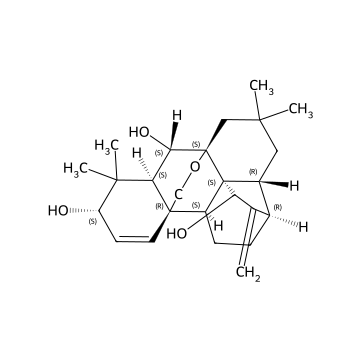 C=C1C(O)[C@@]23[C@@H]4CC(C)(C)C[C@]25OC[C@]2(C=C[C@H](O)C(C)(C)[C@H]2[C@@H]5O)[C@@H]3CC[C@@H]14